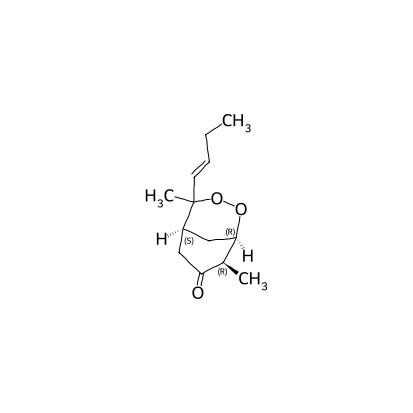 CCC=CC1(C)OO[C@@H]2C[C@H]1CC(=O)[C@@H]2C